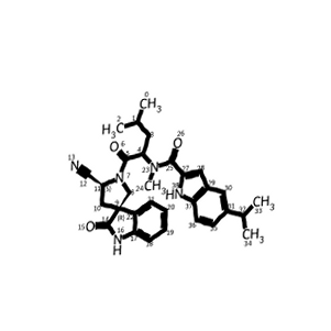 CC(C)CC(C(=O)N1C[C@]2(C[C@H]1C#N)C(=O)Nc1ccccc12)N(C)C(=O)c1cc2cc(C(C)C)ccc2[nH]1